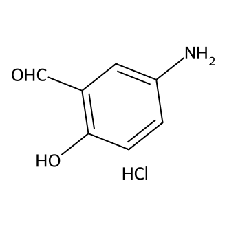 Cl.Nc1ccc(O)c(C=O)c1